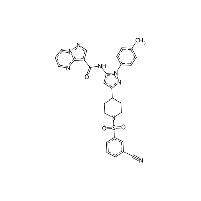 Cc1ccc(-n2nc(C3CCN(S(=O)(=O)c4cccc(C#N)c4)CC3)cc2NC(=O)c2cnn3cccnc23)cc1